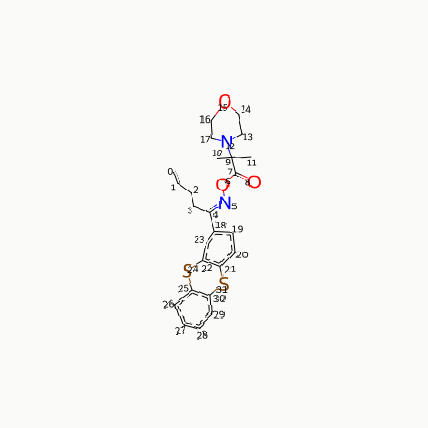 C=CCC/C(=N\OC(=O)C(C)(C)N1CCOCC1)c1ccc2c(c1)Sc1ccccc1S2